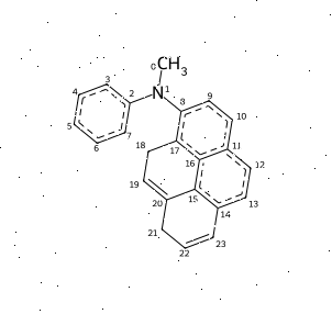 CN(c1ccccc1)c1ccc2ccc3c4c2c1CC=C4CC=C3